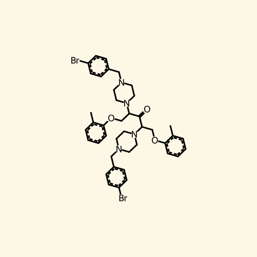 Cc1ccccc1OCC(C(=O)C(COc1ccccc1C)N1CCN(Cc2ccc(Br)cc2)CC1)N1CCN(Cc2ccc(Br)cc2)CC1